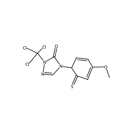 COC1=CC(=S)C(n2cnn(C(Cl)(Cl)Cl)c2=O)C=C1